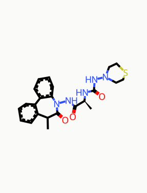 CC1C(=O)N(NC(=O)[C@H](C)NC(=O)NN2CCSCC2)c2ccccc2-c2ccccc21